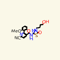 COc1ccccc1-c1nc(C#N)ccc1C(=O)Nc1nn(CCCCO)c(=O)s1